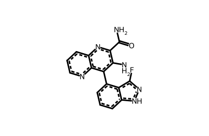 NC(=O)c1nc2cccnc2c(-c2cccc3[nH]nc(F)c23)c1N